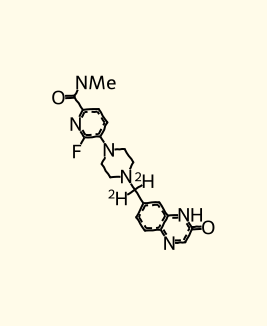 [2H]C([2H])(c1ccc2ncc(=O)[nH]c2c1)N1CCN(c2ccc(C(=O)NC)nc2F)CC1